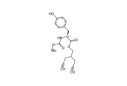 C#CCC(CC#C)COC(=O)[C@H](Cc1ccc(O)cc1)NC(=O)OC(C)(C)C